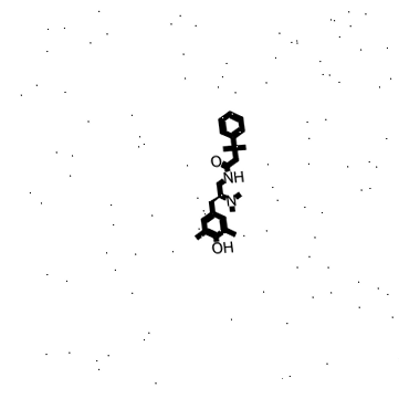 Cc1cc(C[C@@H](CNC(=O)CC(C)(C)c2ccccc2)N(C)C)cc(C)c1O